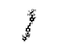 Cc1cc(OCCCC2CCN(c3noc([C@@H]4CCCN4C)n3)CC2)ccc1C(=O)N[C@H](C)CO